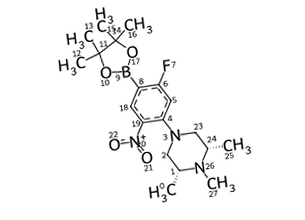 C[C@@H]1CN(c2cc(F)c(B3OC(C)(C)C(C)(C)O3)cc2[N+](=O)[O-])C[C@H](C)N1C